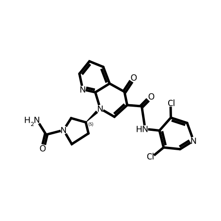 NC(=O)N1CC[C@H](n2cc(C(=O)Nc3c(Cl)cncc3Cl)c(=O)c3cccnc32)C1